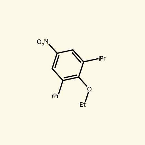 CCOc1c(C(C)C)cc([N+](=O)[O-])cc1C(C)C